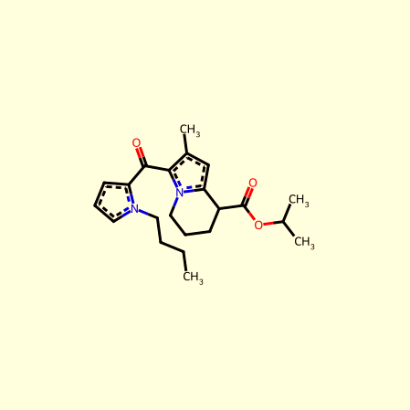 CCCCn1cccc1C(=O)c1c(C)cc2n1CCCC2C(=O)OC(C)C